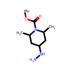 CC1CC(NN)CC(C)N1C(=O)OC(C)(C)C